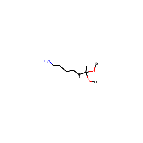 CCOC(C)(OCC)[SiH2]CCCCN